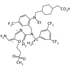 C=C(/N=C\C(=C/N)OCCS(C)(=O)=O)N(Cc1cc(C(F)(F)F)ccc1N(CC)CC1CCC(CC(=O)O)CC1)[C@H](C)c1cc(C(F)(F)F)cc(C(F)(F)F)c1